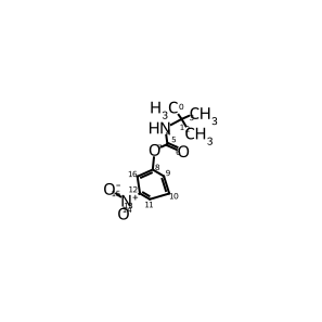 CC(C)(C)NC(=O)Oc1cccc([N+](=O)[O-])c1